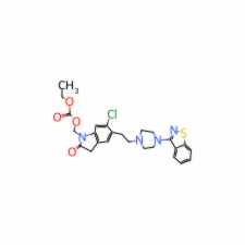 CCOC(=O)OCN1C(=O)Cc2cc(CCN3CCN(c4nsc5ccccc45)CC3)c(Cl)cc21